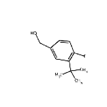 CC(C)(C)c1cc(CO)ccc1F